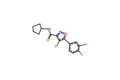 O=C(NC1CCCC1)c1noc(-c2ccc(F)c(F)c2)c1Cl